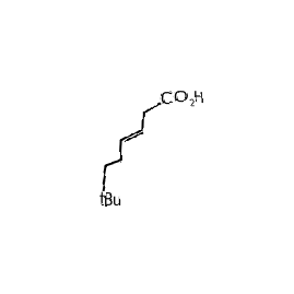 CC(C)(C)CCC=CCC(=O)O